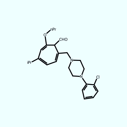 CCCOC1=CC(C(C)C)=CC=C(CN2CCN(c3ccccc3Cl)CC2)C1C=O